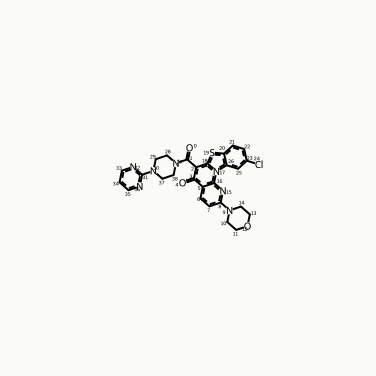 O=C(c1c(=O)c2ccc(N3CCOCC3)nc2n2c1sc1ccc(Cl)cc12)N1CCN(c2ncccn2)CC1